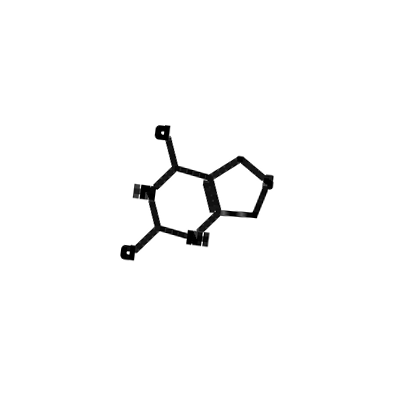 ClC1NC2=C(CSC2)C(Cl)N1